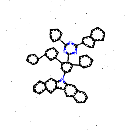 c1ccc(-c2cccc(-c3cc(-n4c5cc6ccccc6cc5c5cc6ccccc6cc54)cc(-c4ccccc4)c3-c3nc(-c4ccccc4)nc(-c4ccc5ccccc5c4)n3)c2)cc1